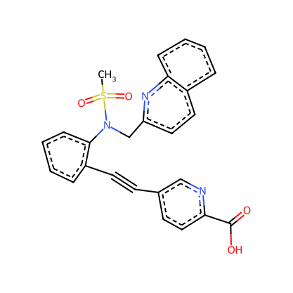 CS(=O)(=O)N(Cc1ccc2ccccc2n1)c1ccccc1C#Cc1ccc(C(=O)O)nc1